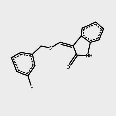 O=C1Nc2ccccc2C1=CSCc1cccc(F)c1